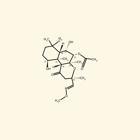 CON=C[C@@]1(C)CC(=O)[C@H]2[C@](C)(O1)[C@@H](OC(C)=O)[C@@H](O)[C@H]1C(C)(C)CC[C@H](O)[C@@]12C